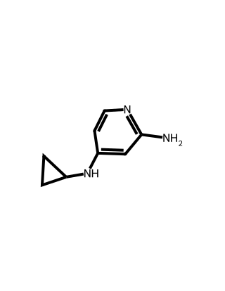 Nc1cc(NC2CC2)ccn1